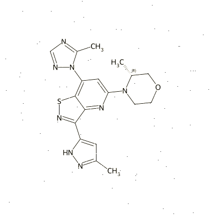 Cc1cc(-c2nsc3c(-n4ncnc4C)cc(N4CCOC[C@H]4C)nc23)[nH]n1